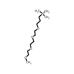 COCCOCCOCCOCCC[N+](C)(C)C